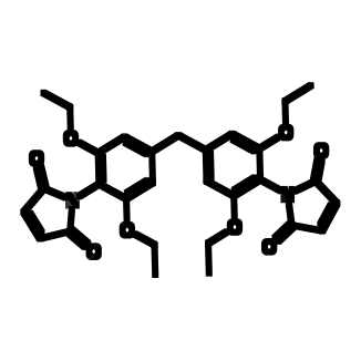 CCOc1cc(Cc2cc(OCC)c(N3C(=O)C=CC3=O)c(OCC)c2)cc(OCC)c1N1C(=O)C=CC1=O